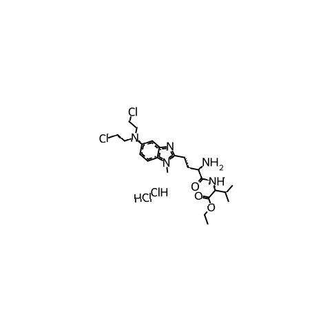 CCOC(=O)C(NC(=O)C(N)CCc1nc2cc(N(CCCl)CCCl)ccc2n1C)C(C)C.Cl.Cl